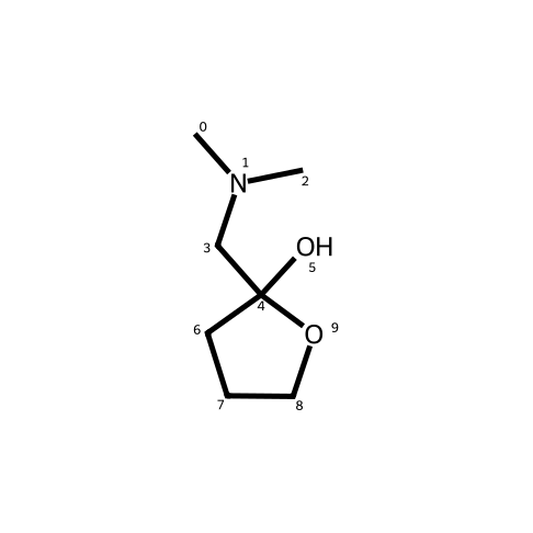 CN(C)CC1(O)CCCO1